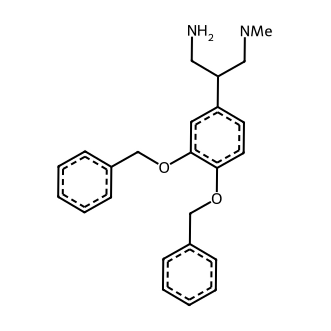 CNCC(CN)c1ccc(OCc2ccccc2)c(OCc2ccccc2)c1